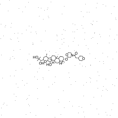 C[C@@H]1CC([C@H](O)C(C)(C)O)OC2C1[C@@]1(C)CCC34C[C@@]35CC[C@H](OC3CN(C(=O)CC6CCOCC6)CCO3)C(C)(C)[C@@H]5CC[C@H]4C1(C)[C@H]2O